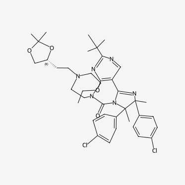 CCOc1nc(C(C)(C)C)ncc1C1=NC(C)(c2ccc(Cl)cc2)C(C)(c2ccc(Cl)cc2)N1C(=O)N1CCN(CC[C@@H]2COC(C)(C)O2)CC1